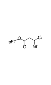 CCCOC(=O)CC(Cl)Br